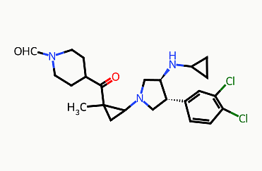 CC1(C(=O)C2CCN(C=O)CC2)CC1N1C[C@@H](NC2CC2)[C@H](c2ccc(Cl)c(Cl)c2)C1